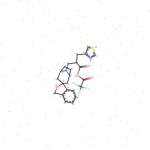 O=C(OC(=O)C(F)(F)F)C(Cc1cscn1)CN1C2CCC1CC1(C2)OCc2ccccc21